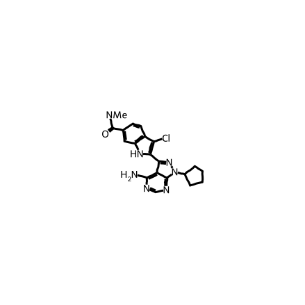 CNC(=O)c1ccc2c(Cl)c(-c3nn(C4CCCC4)c4ncnc(N)c34)[nH]c2c1